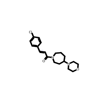 O=C(/C=C/c1ccc(Cl)cc1)N1CCCC(N2CCOCC2)CC1